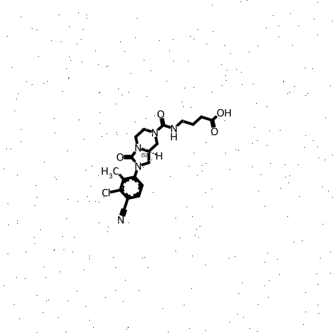 Cc1c(N2C[C@@H]3CN(C(=O)NCCCC(=O)O)CCN3C2=O)ccc(C#N)c1Cl